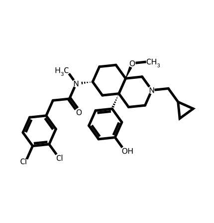 CO[C@]12CC[C@@H](N(C)C(=O)Cc3ccc(Cl)c(Cl)c3)C[C@]1(c1cccc(O)c1)CCN(CC1CC1)C2